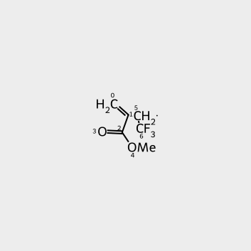 C=CC(=O)OC.[CH2]C(F)(F)F